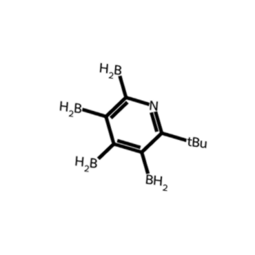 Bc1nc(C(C)(C)C)c(B)c(B)c1B